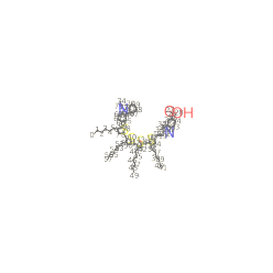 CCCCCCc1cc(-c2sc(-c3sc(-c4sc(/C=C/C5=Nc6ccc(C(=O)O)cc6C5(C)C)cc4CCCCCC)cc3CCCCCC)cc2CCCCCC)sc1-c1ccc2c(c1)c1ccccc1n2CC